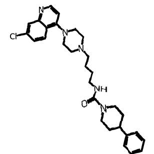 O=C(NCCCCN1CCN(c2ccnc3cc(Cl)ccc23)CC1)N1CCC(c2ccccc2)CC1